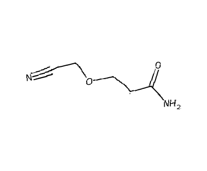 N#CCOC[CH]C(N)=O